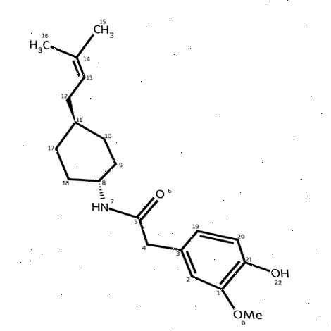 COc1cc(CC(=O)N[C@H]2CC[C@H](CC=C(C)C)CC2)ccc1O